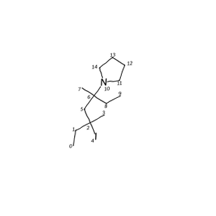 CCC(C)(I)CC(C)(CC)N1CCCC1